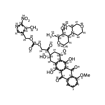 COc1cccc2c1C(=O)c1c(O)c3c(c(O)c1C2=O)C[C@@](O)(C(=O)COC(=O)OCc1cnc([N+](=O)[O-])n1C)C[C@@H]3O[C@H]1CC(N2CCOCC2C#N)[C@H](O)[C@H](C)O1